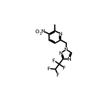 Cc1nc(Cn2cnc(C(F)(F)C(F)F)n2)ccc1[N+](=O)[O-]